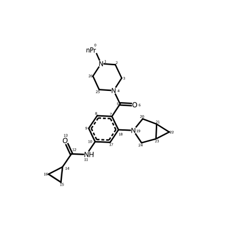 CCCN1CCN(C(=O)c2ccc(NC(=O)C3CC3)cc2N2CC3CC3C2)CC1